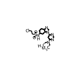 CCN(CC)c1cc(-n2cnc3ccc(NS(=O)(=O)CCCl)cc32)ncn1